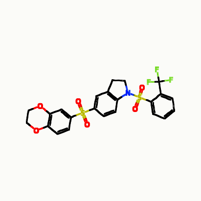 O=S(=O)(c1ccc2c(c1)CCN2S(=O)(=O)c1ccccc1C(F)(F)F)c1ccc2c(c1)OCCO2